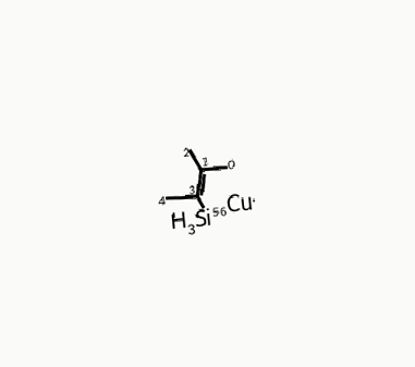 CC(C)=C(C)[SiH3].[Cu]